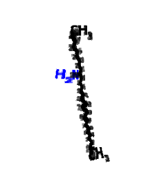 CCCCCC=CCC=CCCCCCCCCCC(N)CCCCCCCCC